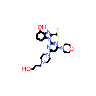 OCCCN1CCN(c2cc(N3CCOCC3)nc(-n3c(C(F)F)nc4c(O)cccc43)n2)CC1